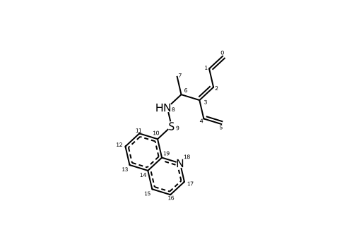 C=C/C=C(/C=C)C(C)NSc1cccc2cccnc12